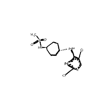 CS(=O)(=O)N[C@H]1CC[C@H](Nc2nc(Cl)ncc2Cl)CC1